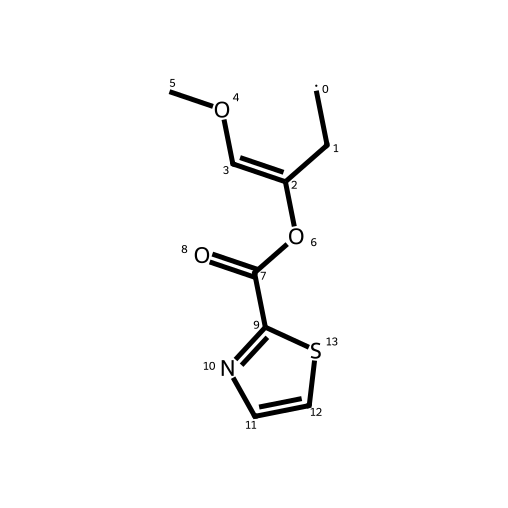 [CH2]CC(=COC)OC(=O)c1nccs1